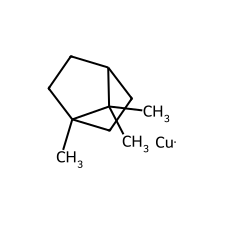 CC12CCC(CC1)C2(C)C.[Cu]